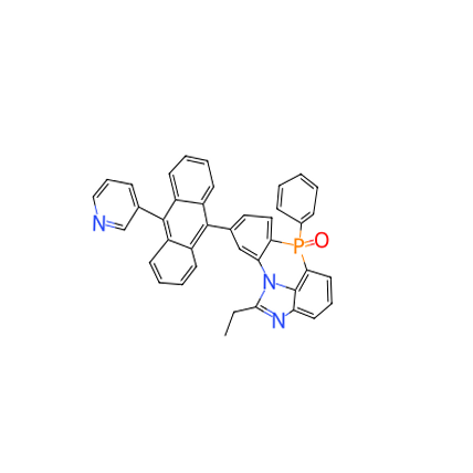 CCc1nc2cccc3c2n1-c1cc(-c2c4ccccc4c(-c4cccnc4)c4ccccc24)ccc1P3(=O)c1ccccc1